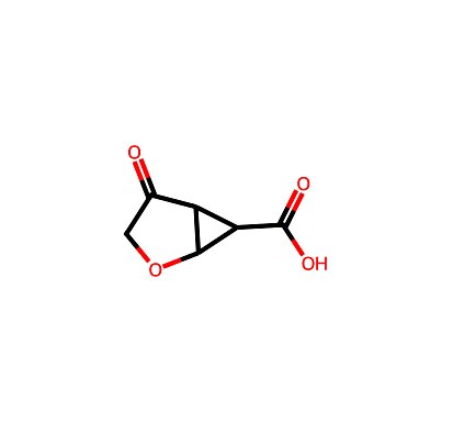 O=C(O)C1C2OCC(=O)C21